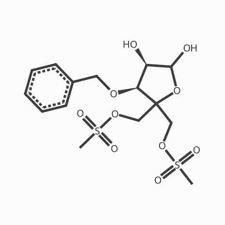 CS(=O)(=O)OCC1(COS(C)(=O)=O)OC(O)[C@H](O)[C@@H]1OCc1ccccc1